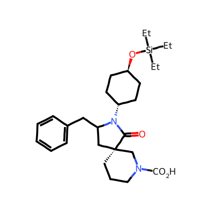 CC[Si](CC)(CC)O[C@H]1CC[C@H](N2C(=O)[C@]3(CCCN(C(=O)O)C3)CC2Cc2ccccc2)CC1